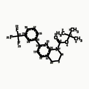 CC(C)(C)OC(=O)N1CCCc2ccc(-c3cccc(C(F)(F)F)c3)nc21